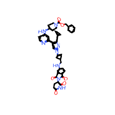 O=C1CCC(N2C(=O)c3ccc(NCC4CC(n5cc(-c6cc(NC7CCN(C(=O)OCc8ccccc8)CC7)ccn6)c(C6CC6)n5)C4)cc3C2=O)C(=O)N1